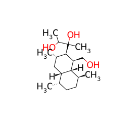 CC(O)C(C)(O)[C@H]1[C@@H](CO)[C@H]2[C@@H](C[C@@H]1C)[C@@H](C)CC[C@@H]2C